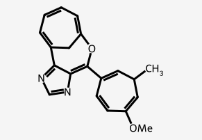 COC1=CC(C)C=C(C2=C3N=CN=C3C3=CC=CC=C(C3)O2)C=C1